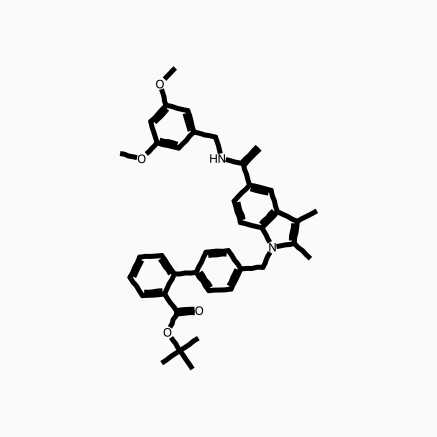 C=C(NCc1cc(OC)cc(OC)c1)c1ccc2c(c1)c(C)c(C)n2Cc1ccc(-c2ccccc2C(=O)OC(C)(C)C)cc1